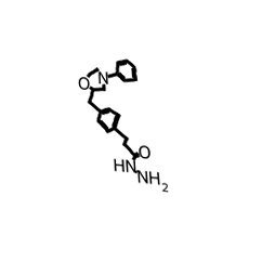 NNC(=O)CCc1ccc(CC2CN(c3ccccc3)CCO2)cc1